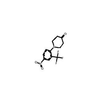 O=C1CCN(c2ccc([N+](=O)[O-])cc2C(F)(F)F)CC1